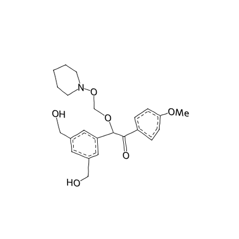 COc1ccc(C(=O)C(OCON2CCCCC2)c2cc(CO)cc(CO)c2)cc1